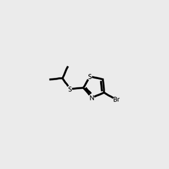 CC(C)Sc1nc(Br)cs1